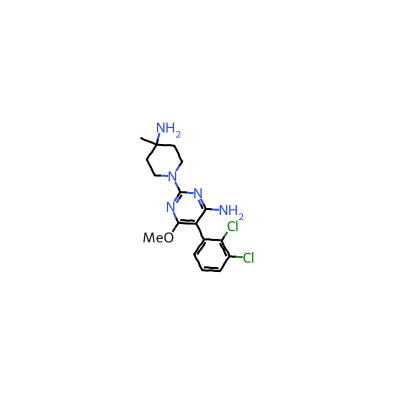 COc1nc(N2CCC(C)(N)CC2)nc(N)c1-c1cccc(Cl)c1Cl